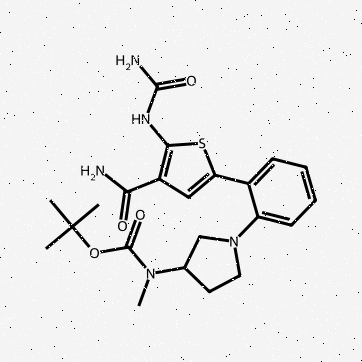 CN(C(=O)OC(C)(C)C)C1CCN(c2ccccc2-c2cc(C(N)=O)c(NC(N)=O)s2)C1